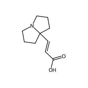 O=C(O)/C=C/C12CCCN1CCC2